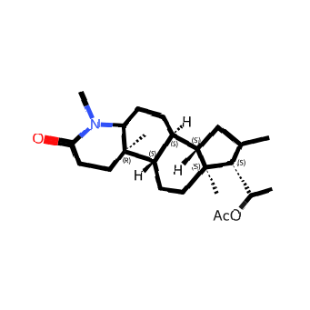 CC(=O)OC(C)[C@H]1C(C)C[C@H]2[C@@H]3CCC4N(C)C(=O)CC[C@]4(C)[C@H]3CC[C@]12C